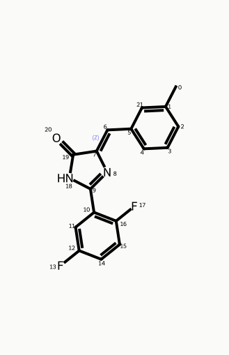 Cc1cccc(/C=C2\N=C(c3cc(F)ccc3F)NC2=O)c1